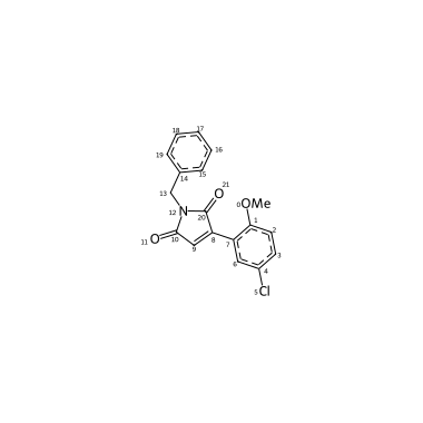 COc1ccc(Cl)cc1C1=CC(=O)N(Cc2ccccc2)C1=O